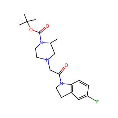 CC1CN(CC(=O)N2CCc3cc(F)ccc32)CCN1C(=O)OC(C)(C)C